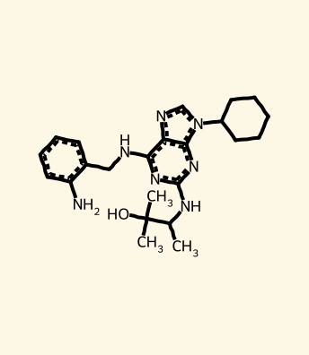 CC(Nc1nc(NCc2ccccc2N)c2ncn(C3CCCCC3)c2n1)C(C)(C)O